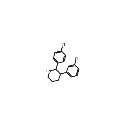 Clc1ccc(C2NCCCC2c2cccc(Cl)c2)cc1